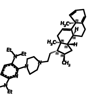 CCN(CC)c1ccc(N(CC)CC)c(N2CCN(CC[C@H]3[C@H](C)C[C@H]4[C@@H]5CCC6=CCC=C[C@]6(C)C5=CC[C@]34C)CC2)n1